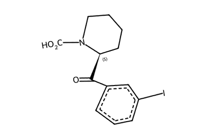 O=C(c1cccc(I)c1)[C@@H]1CCCCN1C(=O)O